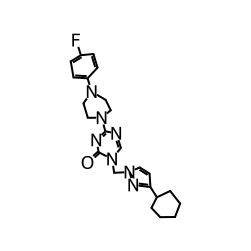 O=c1nc(N2CCN(c3ccc(F)cc3)CC2)ncn1Cn1ccc(C2CCCCC2)n1